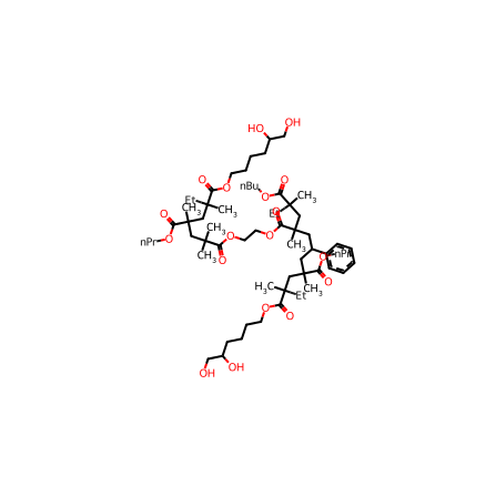 CCCCOC(=O)C(C)(CC)CC(C)(CC(CC(C)(CC(C)(CC)C(=O)OCCCCC(O)CO)C(=O)OCCC)c1ccccc1)C(=O)OCCOC(=O)C(C)(C)CC(C)(CC(C)(CC)C(=O)OCCCCC(O)CO)C(=O)OCCC